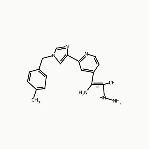 Cc1ccc(Cn2cnc(-c3cc(/C(N)=C(/NN)C(F)(F)F)ccn3)c2)cc1